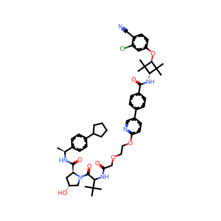 C[C@H](NC(=O)[C@@H]1C[C@@H](O)CN1C(=O)C(NC(=O)COCCOc1ccc(-c2ccc(C(=O)N[C@H]3C(C)(C)[C@H](Oc4ccc(C#N)c(Cl)c4)C3(C)C)cc2)cn1)C(C)(C)C)c1ccc(C2CCCC2)cc1